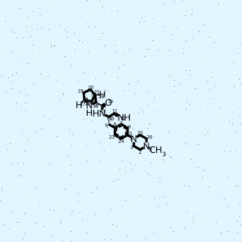 CN1CCN(c2ccc(C[C@@H](C=N)NC(=O)[C@H]3N[C@@H]4CC[C@H]3C4)cc2)CC1